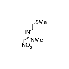 CN/C(=C\[N+](=O)[O-])NCCSC